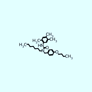 CCCCCCCN(Cc1ccc(OCCCC)cc1)C(=O)Nc1cc(C)c(C)cc1C